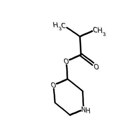 CC(C)C(=O)OC1CNCCO1